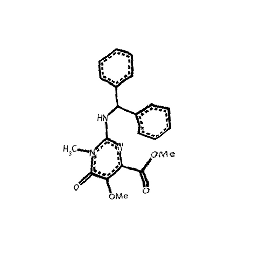 COC(=O)c1nc(NC(c2ccccc2)c2ccccc2)n(C)c(=O)c1OC